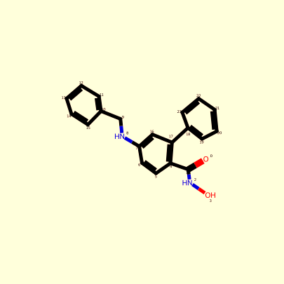 O=C(NO)c1ccc(NCc2ccccc2)cc1-c1ccccc1